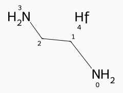 NCCN.[Hf]